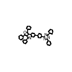 c1ccc(-c2nc(-c3ccccc3)nc(-c3ccc(-c4ccc5c(c4)nc(-c4ccccc4)c4c(-c6ccccc6)oc(-c6ccccc6)c45)cc3)n2)cc1